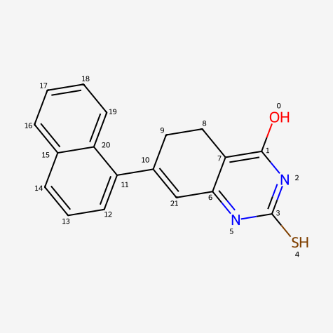 Oc1nc(S)nc2c1CCC(c1cccc3ccccc13)=C2